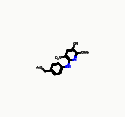 COc1nc(Nc2ccc(COC(C)=O)cc2)c([N+](=O)[O-])cc1C#N